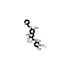 C[C@H](Nc1ccc(C#N)n(C)c1=O)c1cc2cc(O)c(OCc3ccccn3)cc2[nH]c1=O